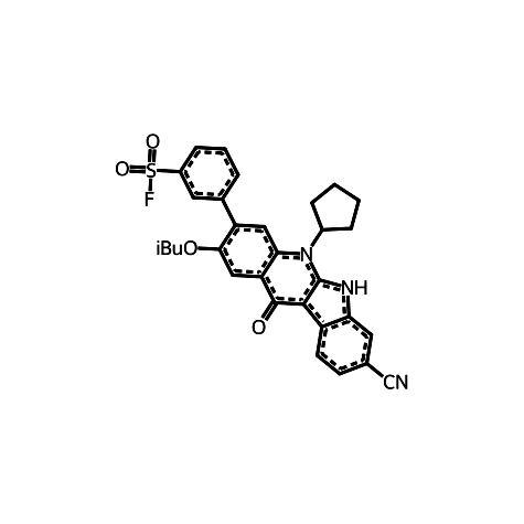 CC(C)COc1cc2c(=O)c3c4ccc(C#N)cc4[nH]c3n(C3CCCC3)c2cc1-c1cccc(S(=O)(=O)F)c1